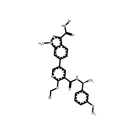 [2H]COc1ncc(-c2ccc3c(C(=O)N[2H])nn(C)c3c2)cc1C(=O)N[C@@H](C)c1cccc(OC(F)(F)F)c1